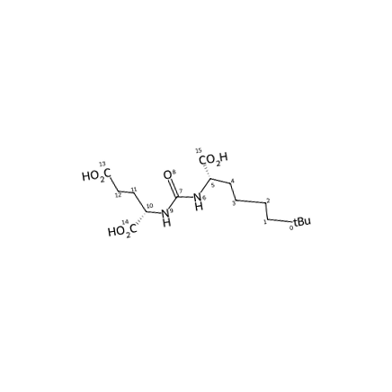 CC(C)(C)CCCC[C@H](NC(=O)N[C@@H](CCC(=O)O)C(=O)O)C(=O)O